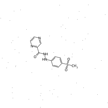 CS(=O)(=O)c1ccc(NNC(=O)c2cnccn2)cc1